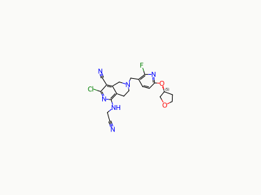 N#CCNc1nc(Cl)c(C#N)c2c1CCN(Cc1ccc(O[C@H]3CCOC3)nc1F)C2